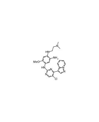 COc1cc(NCCN(C)C)c(N)cc1Nc1ncc(Cl)c(-c2cnn3ccccc23)n1